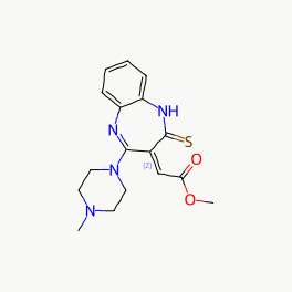 COC(=O)/C=C1\C(=S)Nc2ccccc2N=C1N1CCN(C)CC1